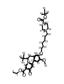 CCOC(=O)c1cn2c(cc1=O)-c1cc(OC)c(OCCCCCCN3CCN(C(=O)OC(C)(C)C)CC3)cc1CC2C(C)(C)C